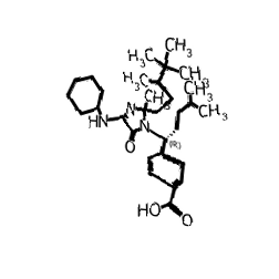 CC(C)CC[C@H](c1ccc(C(=O)O)cc1)N1C(=O)C(NC2CCCCC2)=NC1(C)CCC(C)C(C)(C)C